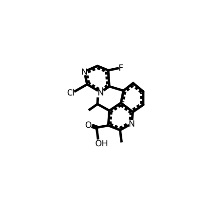 Cc1nc2cccc(-c3nc(Cl)ncc3F)c2c(C(C)C)c1C(=O)O